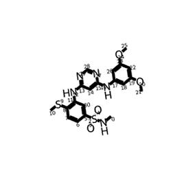 CNS(=O)(=O)c1ccc(SC)c(Nc2cc(Nc3cc(OC)cc(OC)c3)ncn2)c1